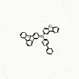 C1=CCC2C(=C1)c1cccc3c4cc(N(c5ccc(-c6ccccc6)cc5)c5ccc6oc7ccccc7c6c5)ccc4n2c13